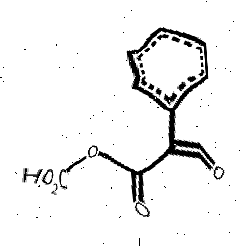 O=C(O)OC(=O)C(=O)c1ccccc1